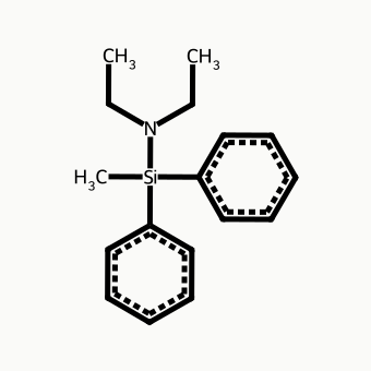 CCN(CC)[Si](C)(c1ccccc1)c1ccccc1